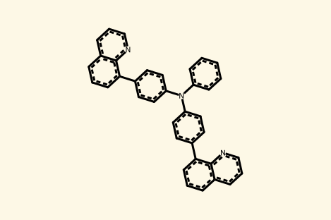 c1ccc(N(c2ccc(-c3cccc4cccnc34)cc2)c2ccc(-c3cccc4cccnc34)cc2)cc1